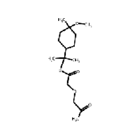 COC1(C)CCC(C(C)(C)OC(=O)COCC(C)=O)CC1